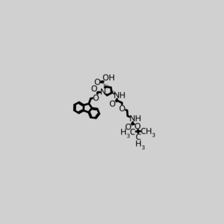 CC(C)(C)OC(=O)NCCOCC(=O)N[C@@H]1C[C@@H](C(=O)O)N(C(=O)OCC2c3ccccc3-c3ccccc32)C1